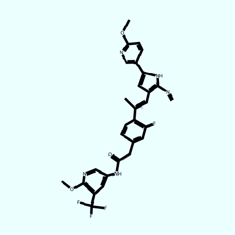 C=Nc1[nH]c(-c2ccc(OC)nc2)cc1/C=C(\C)c1ccc(CC(=O)Nc2cnc(OC)c(C(F)(F)F)c2)cc1F